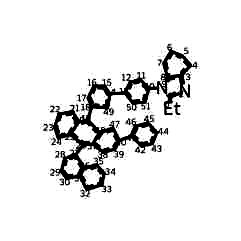 CCc1nc2ccccc2n1-c1ccc(-c2cccc(-c3c4ccccc4c(-c4cccc5ccccc45)c4ccc(-c5ccccc5)cc34)c2)cc1